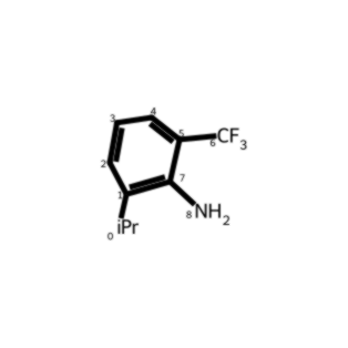 CC(C)c1cccc(C(F)(F)F)c1N